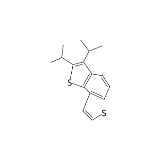 CC(C)c1sc2c(ccc3sccc32)c1C(C)C